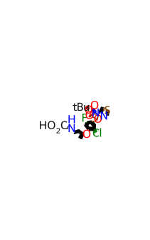 C=C(CCNCC(=O)O)Oc1cc(F)c(S(=O)(=O)N(C(=O)OC(C)(C)C)c2cscn2)cc1Cl